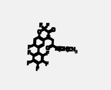 CN(O)C(=O)CN1C(=O)C(F)(F)Oc2cc(F)c(-c3c(F)c(F)c(F)c(F)c3F)cc21